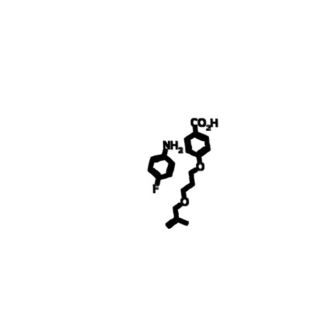 C=C(C)COCCCOc1ccc(C(=O)O)cc1.Nc1ccc(F)cc1